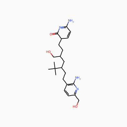 CC(C)(C)C(CCc1ccc(CO)nc1N)CC(CO)CCC1C=CC(N)=NC1=O